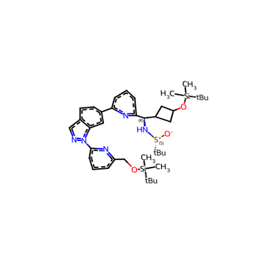 CC(C)(C)[S@@+]([O-])N[C@@H](c1cccc(-c2ccc3cnn(-c4cccc(CO[Si](C)(C)C(C)(C)C)n4)c3c2)n1)C1CC(O[Si](C)(C)C(C)(C)C)C1